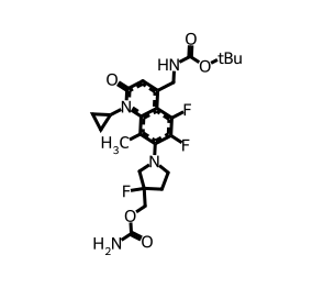 Cc1c(N2CCC(F)(COC(N)=O)C2)c(F)c(F)c2c(CNC(=O)OC(C)(C)C)cc(=O)n(C3CC3)c12